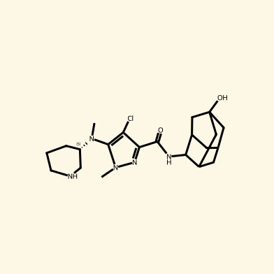 CN(c1c(Cl)c(C(=O)NC2C3CC4CC2CC(O)(C4)C3)nn1C)[C@H]1CCCNC1